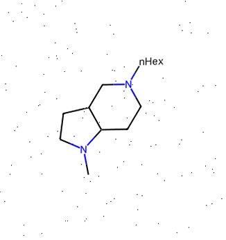 CCCCCCN1CCC2C(CCN2C)C1